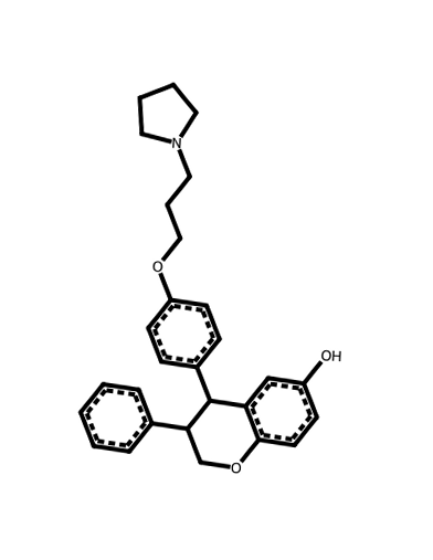 Oc1ccc2c(c1)C(c1ccc(OCCCN3CCCC3)cc1)C(c1ccccc1)CO2